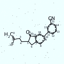 C=C(F)CCC1Cc2ccc(-c3cccc(C#N)c3)cc2C1=O